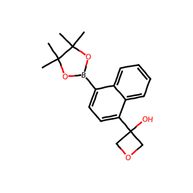 CC1(C)OB(c2ccc(C3(O)COC3)c3ccccc23)OC1(C)C